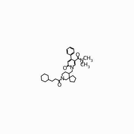 CN(C)C(=O)c1cn(CC2CCN(C(=O)CCC3CCCCC3)CC23CCCC3)c(=O)cc1-c1ccccc1